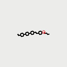 C=CC1CCC(C2CCC(C3CCC(/C=C/C4CCC(OCCCC)CC4)CC3)CC2)CC1